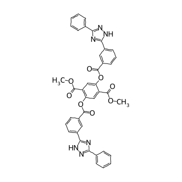 COC(=O)c1cc(OC(=O)c2cccc(-c3nc(-c4ccccc4)n[nH]3)c2)c(C(=O)OC)cc1OC(=O)c1cccc(-c2nc(-c3ccccc3)n[nH]2)c1